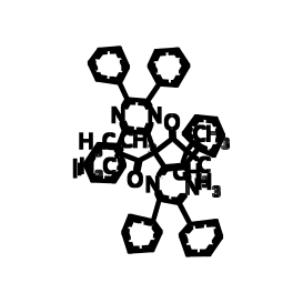 CC(C)(C)C(=O)C(C(=O)C(C)(C)C)(c1nc(-c2ccccc2)c(-c2ccccc2)nc1-c1ccccc1)c1nc(-c2ccccc2)c(-c2ccccc2)nc1-c1ccccc1.[Ir]